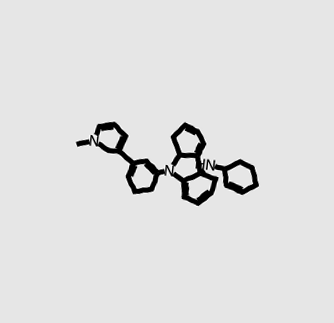 CN1C=CC=C(C2=CCCC(N3C4=CC=CCC4(NC4C=CCCC4)C4=CC=CCC43)=C2)C1